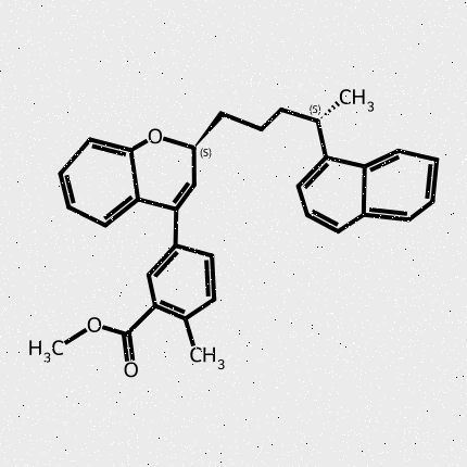 COC(=O)c1cc(C2=C[C@H](CCC[C@H](C)c3cccc4ccccc34)Oc3ccccc32)ccc1C